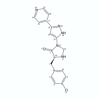 O=C1[C@H](Cc2ccc(Cl)cc2)NCN1c1cc(-c2ccncc2)n[nH]1